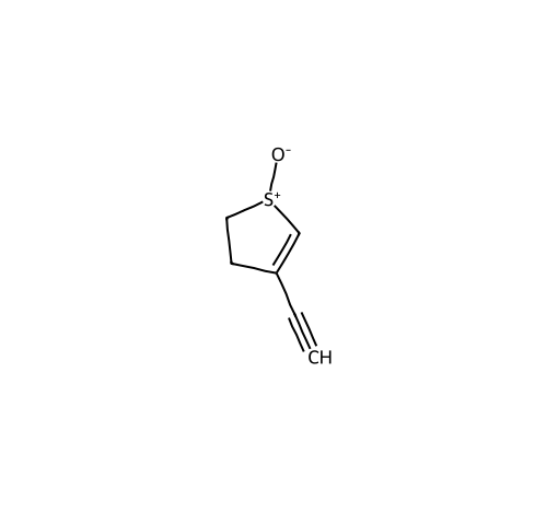 C#CC1=C[S+]([O-])CC1